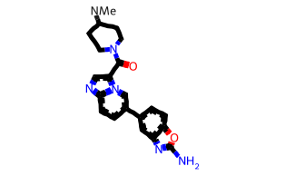 CNC1CCN(C(=O)c2cnc3ccc(-c4ccc5oc(N)nc5c4)cn23)CC1